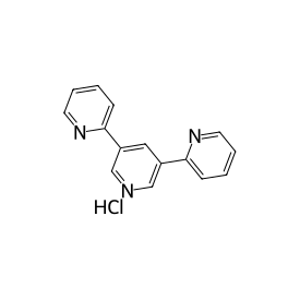 Cl.c1ccc(-c2cncc(-c3ccccn3)c2)nc1